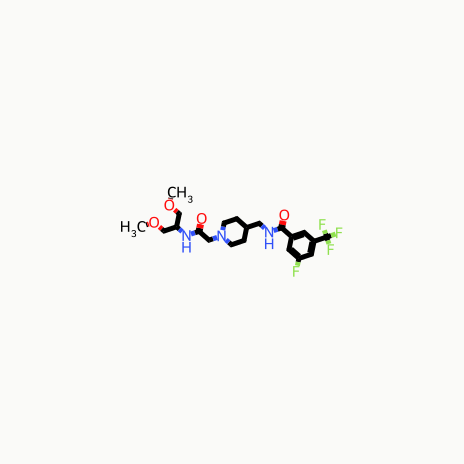 COCC(COC)NC(=O)CN1CCC(CNC(=O)c2cc(F)cc(C(F)(F)F)c2)CC1